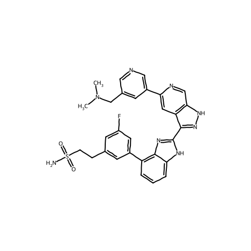 CN(C)Cc1cncc(-c2cc3c(-c4nc5c(-c6cc(F)cc(CCS(N)(=O)=O)c6)cccc5[nH]4)n[nH]c3cn2)c1